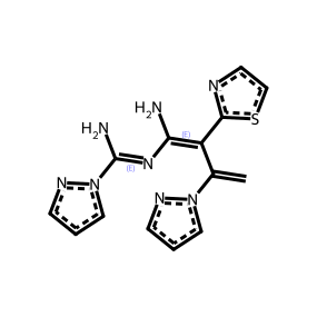 C=C(/C(=C(N)\N=C(/N)n1cccn1)c1nccs1)n1cccn1